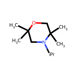 CC(C)N1CC(C)(C)OCC1(C)C